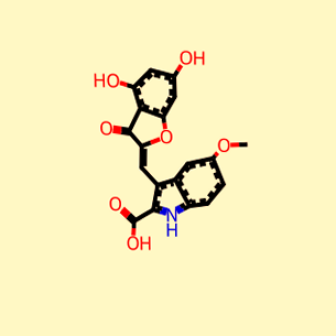 COc1ccc2[nH]c(C(=O)O)c(C=C3Oc4cc(O)cc(O)c4C3=O)c2c1